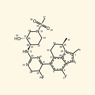 Cc1nc2c(F)cc(C3=NC(N[C@@H]4CCN(S(C)(=O)=O)C[C@H]4O)=NCC3F)c3c2n1[C@H](C)CC3